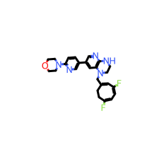 FC1=C/C=C(/F)CC/C(CN2CCNc3ncc(-c4ccc(N5CCOCC5)nc4)cc32)=C\1